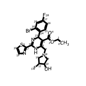 CCOC(=O)C1=C(CN2CC(O)C(F)C2)NC(c2nccs2)=NC1c1ccc(F)cc1Br